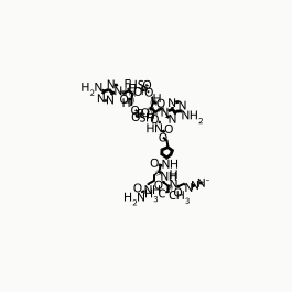 CC(C)[C@H](NC(=O)CN=[N+]=[N-])C(=O)N[C@@H](CCCNC(N)=O)C(=O)Nc1ccc(COC(=O)NCO[C@@H]2[C@@H]3O[P@](=O)(S)OC[C@H]4O[C@@H](n5cnc6c(N)ncnc65)[C@H](F)[C@@H]4O[P@](=O)(S)OC[C@H]3O[C@H]2n2cnc3c(N)ncnc32)cc1